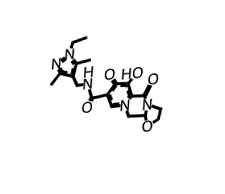 CCn1nc(C)c(CNC(=O)c2cn3c(c(O)c2=O)C(=O)N2CCOC2C3)c1C